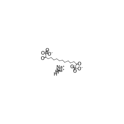 O=C(CCCCCCCCCCC(=O)P(=O)([O-])[O-])P(=O)([O-])[O-].[H+].[H+].[Na+].[Na+]